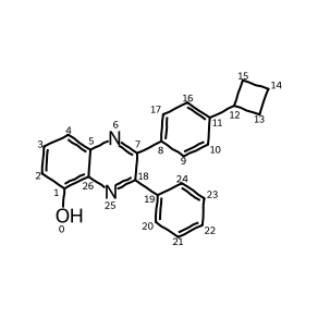 Oc1cccc2nc(-c3ccc(C4CCC4)cc3)c(-c3ccccc3)nc12